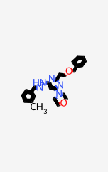 Cc1cccc(C=NNc2cc(N3CCOCC3)nc(CCOCc3ccccc3)n2)c1